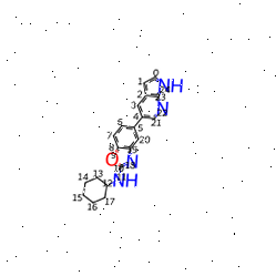 c1cc2cc(-c3ccc4oc(NC5CCCCC5)nc4c3)cnc2[nH]1